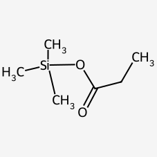 CCC(=O)O[Si](C)(C)C